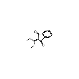 CSC(SC)=C1C(=O)c2ccccc2C1=O